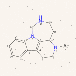 CC(=O)N1CCc2c3n(c4ccccc24)CNCCC31